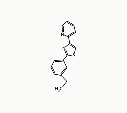 CCc1cccc(-c2nc(-c3ccccn3)cs2)c1